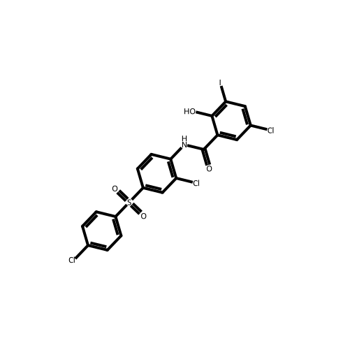 O=C(Nc1ccc(S(=O)(=O)c2ccc(Cl)cc2)cc1Cl)c1cc(Cl)cc(I)c1O